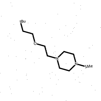 CSN1CCN(CCOCCC(C)(C)C)CC1